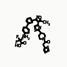 Cc1onc(-c2cccc(-c3ccc(N)cc3)c2)c1-c1csc(C2CCN(C(=O)Cc3cccs3)CC2)n1.O=C(O)C(F)(F)F